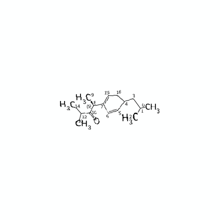 CC(C)CC1C=CC([C@H](C)C(=O)C(C)C)=CC1